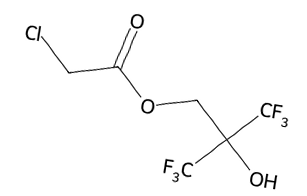 O=C(CCl)OCC(O)(C(F)(F)F)C(F)(F)F